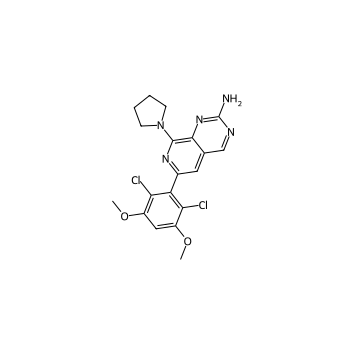 COc1cc(OC)c(Cl)c(-c2cc3cnc(N)nc3c(N3CCCC3)n2)c1Cl